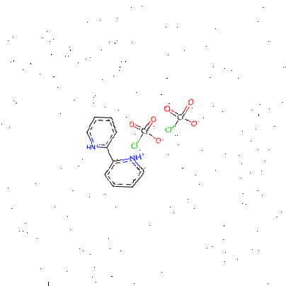 [O]=[Cr](=[O])([O-])[Cl].[O]=[Cr](=[O])([O-])[Cl].c1ccc(-c2cccc[nH+]2)[nH+]c1